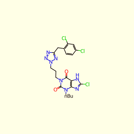 CCCCn1c(=O)n(CCCn2nnc(Cc3ccc(Cl)cc3Cl)n2)c(=O)c2[nH]c(Cl)nc21